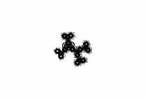 c1ccc2c(c1)c1ccccc1n2-c1ccc2c(c1)Oc1cc(-n3c4ccccc4c4ccccc43)cc3c1B2c1ccc(-n2c4ccc(-n5c6ccccc6c6ccccc65)cc4c4cc(-n5c6ccccc6c6ccccc65)ccc42)cc1O3